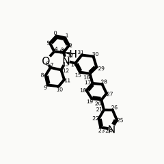 C1=C=C[C@H]2C(C=1)OC1C=CCCC1N2C1=CC(C2=CC=C(C3C=CN=CC3)CC2)=CCC1